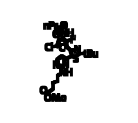 CCCS(=O)(=O)Nc1cc(Cl)cc(-c2nc(C(C)(C)C)sc2-c2ccnc(NCCCCC(=O)OC)n2)c1F